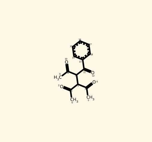 CC(=O)C(C(C)=O)C(C(C)=O)C(=O)c1ccccc1